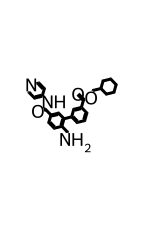 NCc1ccc(C(=O)Nc2ccncc2)cc1-c1cccc(C(=O)OCC2CCCCC2)c1